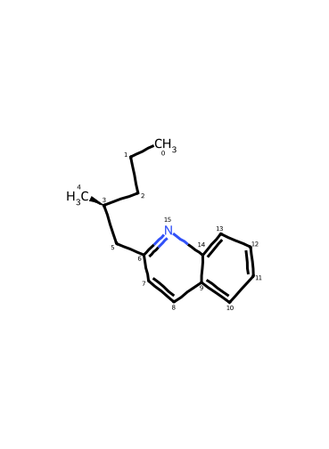 CCC[C@H](C)Cc1ccc2ccccc2n1